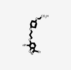 CCCc1c(OCCCOc2ccc(OCC(=O)O)cc2)ccc2c(CC)noc12